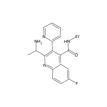 CCNC(=O)c1c(-c2ccccn2)c(C(C)N)nc2ccc(F)cc12